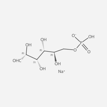 O=C[C@H](O)[C@@H](O)[C@H](O)[C@H](O)COP(=O)([O-])O.[Na+]